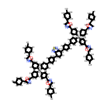 Cc1ccc(-c2cnc(-c3ccc([Si](c4ccc(-c5ccc(-c6ccc(-c7ccc(-c8ccc([Si](c9ccc(-c%10ncc(-c%11ccc(C)cc%11)o%10)cc9)(c9ccc(-c%10ncc(-c%11ccc(C)cc%11)o%10)cc9)c9ccc(-c%10ncc(-c%11ccc(C)cc%11)o%10)cc9)cc8)cc7)c7nsnc67)cc5)cc4)(c4ccc(-c5ncc(-c6ccc(C)cc6)o5)cc4)c4ccc(-c5ncc(-c6ccc(C)cc6)o5)cc4)cc3)o2)cc1